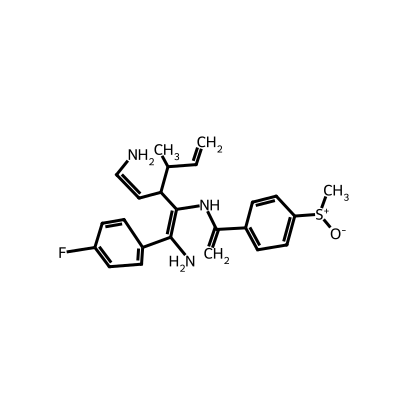 C=CC(C)C(/C=C\N)/C(NC(=C)c1ccc([S+](C)[O-])cc1)=C(/N)c1ccc(F)cc1